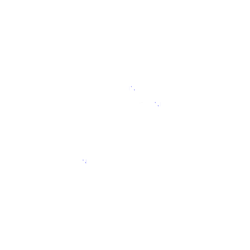 N#Cc1ccc(C(=N)N)cc1